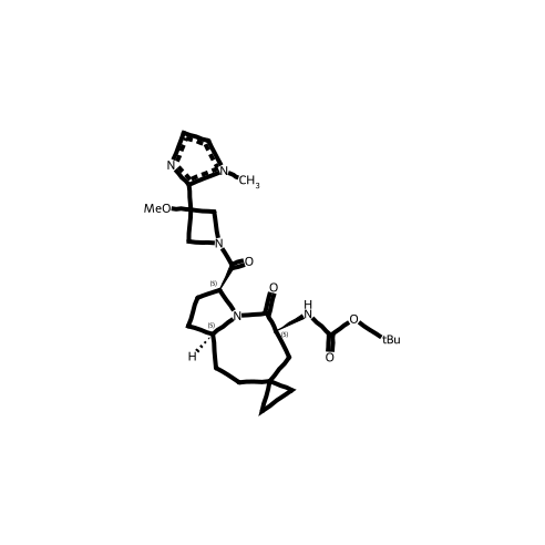 COC1(c2nccn2C)CN(C(=O)[C@@H]2CC[C@@H]3CCC4(CC4)C[C@H](NC(=O)OC(C)(C)C)C(=O)N32)C1